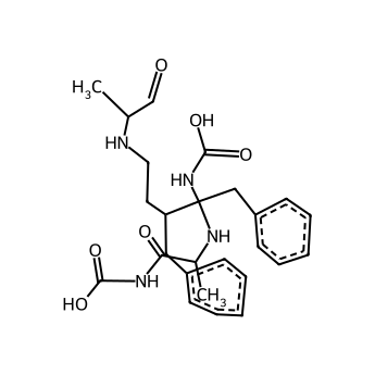 CC(C=O)NCCC(Cc1ccccc1)C(Cc1ccccc1)(NC(=O)O)NC(C)C(=O)NC(=O)O